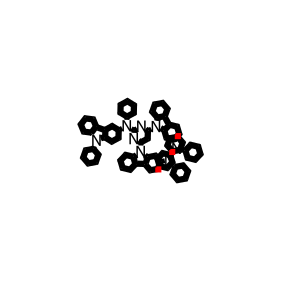 c1ccc(N(c2ccccc2)c2ccc3c4ccccc4n(-c4cc(-n5c6ccccc6c6ccc(N(c7ccccc7)c7ccccc7)cc65)nc(N(c5ccccc5)c5ccc6c(c5)c5ccccc5n6-c5ccccc5)n4)c3c2)cc1